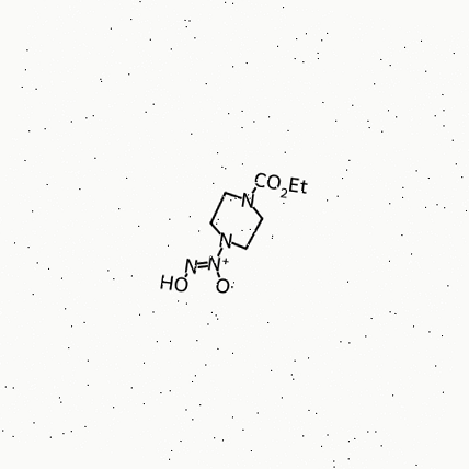 CCOC(=O)N1CCN([N+]([O])=NO)CC1